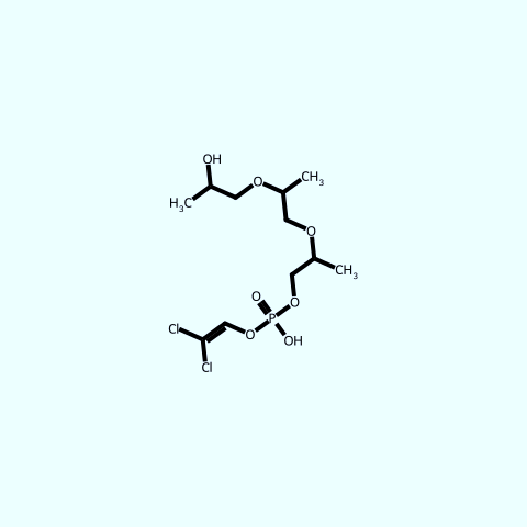 CC(O)COC(C)COC(C)COP(=O)(O)OC=C(Cl)Cl